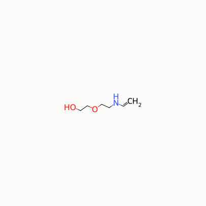 C=CNCCOCCO